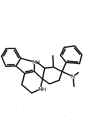 CC1C(C)C(c2ccccc2)(N(C)C)CCC12NCCc1c2[nH]c2ccccc12